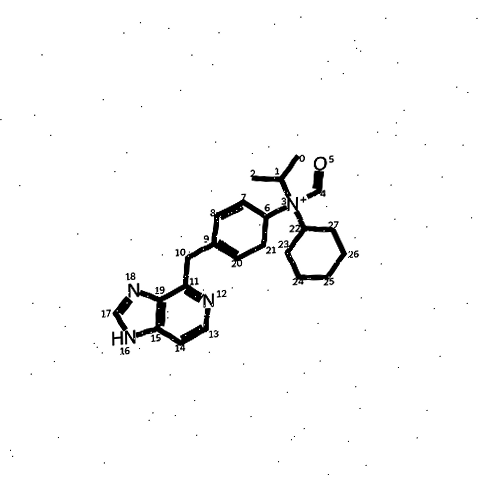 CC(C)[N+](C=O)(C1C=CC(Cc2nccc3[nH]cnc23)=CC1)C1CCCCC1